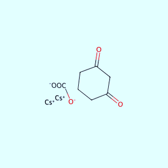 O=C([O-])[O-].O=C1CCCC(=O)C1.[Cs+].[Cs+]